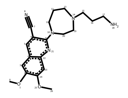 COc1cc2cc(C#N)c(N3CCCN(CCCN)CC3)nc2cc1OC